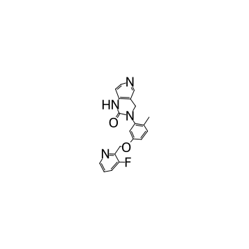 Cc1ccc(OCc2ncccc2F)cc1N1Cc2cnccc2NC1=O